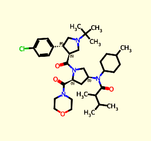 CC1CCC(N(C(=O)C(C)C(C)C)[C@H]2C[C@@H](C(=O)N3CCOCC3)N(C(=O)[C@@H]3CN(C(C)(C)C)C[C@H]3c3ccc(Cl)cc3)C2)CC1